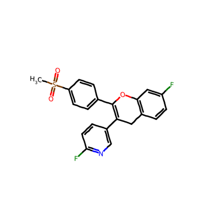 CS(=O)(=O)c1ccc(C2=C(c3ccc(F)nc3)Cc3ccc(F)cc3O2)cc1